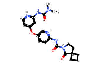 CN(C)C(=O)Nc1cc(Oc2ccc(NC(=O)N3CCC4(CCC4)C3=O)nc2)ccn1